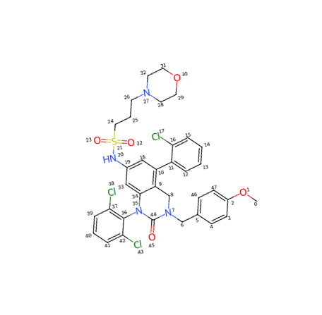 COc1ccc(CN2Cc3c(-c4ccccc4Cl)cc(NS(=O)(=O)CCCN4CCOCC4)cc3N(c3c(Cl)cccc3Cl)C2=O)cc1